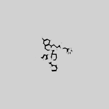 CCC[C@H]1N(C(=O)c2ncccc2C(F)(F)F)CCC[C@@]1(Oc1csc(C(F)(F)F)c1)C(=O)N1CCC2=C(CC=C(Cl)C2)C1CCC(=O)NCc1nn[nH]n1